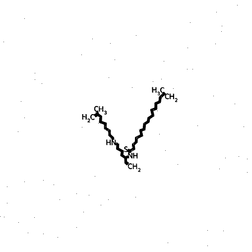 C=CC(CCCCNCCCCCCCC(=C)C)NC(=S)CCCCCCCCCCCCCCCCC(=C)C